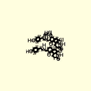 Cl.Cl.O.O=C1CCc2c(c(Cl)cc3c2C(=O)C(CNCCc2ccc(O)cc2)CC3)N1.O=C1CCc2c(c(Cl)cc3c2C(=O)C(CNCCc2ccc(O)cc2)CC3)N1